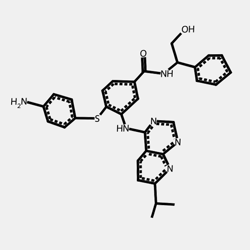 CC(C)c1ccc2c(Nc3cc(C(=O)NC(CO)c4ccccc4)ccc3Sc3ccc(N)cc3)ncnc2n1